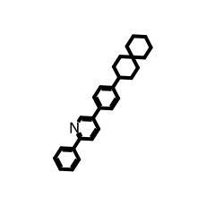 c1ccc(-c2ccc(-c3ccc(C4CCC5(CCCCC5)CC4)cc3)cn2)cc1